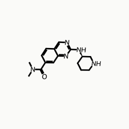 CN(C)C(=O)c1ccc2cnc(N[C@@H]3CCCNC3)nc2c1